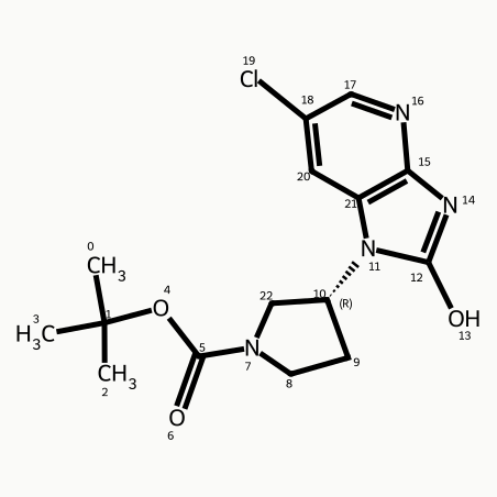 CC(C)(C)OC(=O)N1CC[C@@H](n2c(O)nc3ncc(Cl)cc32)C1